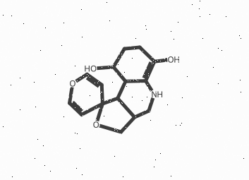 OC1=C2NCC3COC4(C=COC=C4)C3C2C(O)CC1